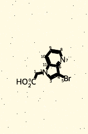 O=C(O)Cn1cc(Br)c2ncccc21